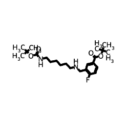 CC(C)(C)OC(=O)NCCCCCCNCc1cc(C(=O)OC(C)(C)C)ccc1F